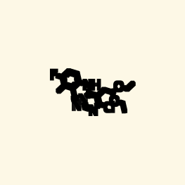 CCOC(Cc1c(Cl)ncnc1Nc1ccc(F)c(C)c1C#N)OCC